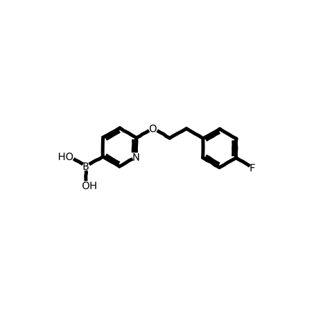 OB(O)c1ccc(OCCc2ccc(F)cc2)nc1